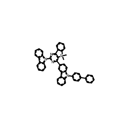 C[Si]1(C)c2ccccc2-c2nc(-n3c4ccccc4c4ccccc43)nc(-c3ccc4c(c3)c3ccccc3n4-c3ccc(-c4ccccc4)cc3)c21